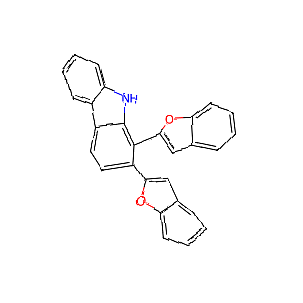 c1ccc2oc(-c3ccc4c([nH]c5ccccc54)c3-c3cc4ccccc4o3)cc2c1